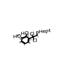 CCCCCCCCC(Cl)(Cl)c1cccc(O)c1O